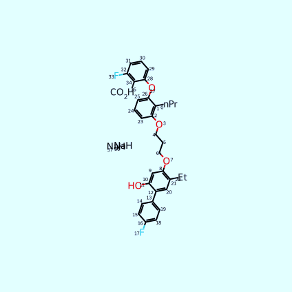 CCCc1c(OCCCOc2cc(O)c(-c3ccc(F)cc3)cc2CC)cccc1Oc1cccc(F)c1C(=O)O.[NaH].[NaH]